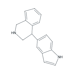 c1ccc2c(c1)CNCC2c1ccc2[nH]ccc2c1